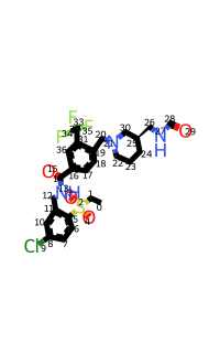 CCS(=O)(=O)c1ccc(Cl)cc1CNC(=O)c1ccc(CN2CCC[C@H](CNC=O)C2)c(C(F)(F)F)c1